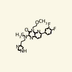 COCCn1c(=O)c(N(C)CCc2c[nH]cn2)nc2ccc(-c3ccc(F)c(F)c3)nc21